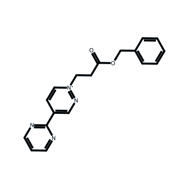 O=C(CC[n+]1ccc(-c2ncccn2)cn1)OCc1ccccc1